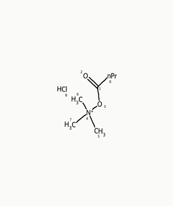 CCCC(=O)O[N+](C)(C)C.Cl